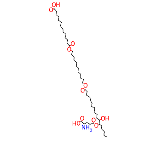 CCCCCC(OC(=O)CCC(N)C(=O)O)C(O)CCCCCCCCCCC(=O)OCCCCCCCCCCCCOC(=O)CCCCCCCCCCCCC(=O)O